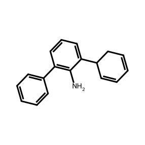 Nc1c(-c2ccccc2)cccc1C1C=CC=CC1